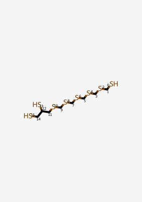 SCSCSCSCSCSCC(S)CS